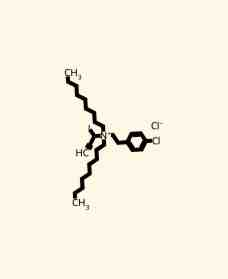 C#CC(I)[N+](CCCCCCCCC)(CCCCCCCCC)CCc1ccc(Cl)cc1.[Cl-]